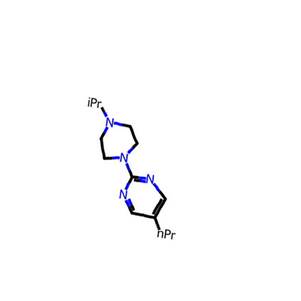 CCCc1cnc(N2CCN(C(C)C)CC2)nc1